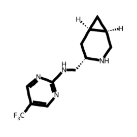 FC(F)(F)c1cnc(NC[C@@H]2C[C@H]3C[C@H]3CN2)nc1